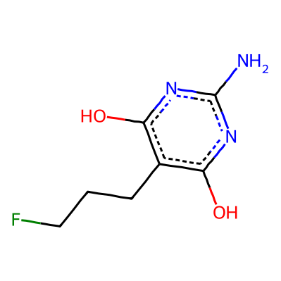 Nc1nc(O)c(CCCF)c(O)n1